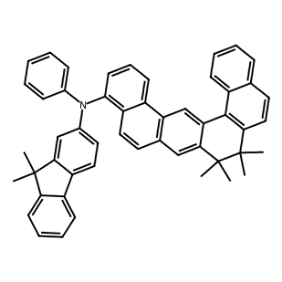 CC1(C)c2ccccc2-c2ccc(N(c3ccccc3)c3cccc4c3ccc3cc5c(cc34)-c3c(ccc4ccccc34)C(C)(C)C5(C)C)cc21